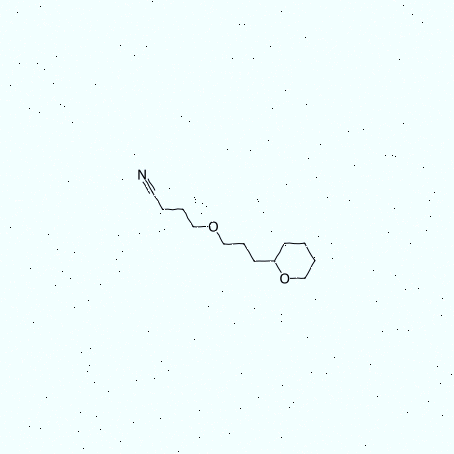 N#CCCCOCCCC1CCCCO1